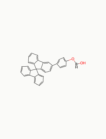 OBOc1ccc(-c2ccc3c(c2)-c2ccccc2C32c3ccccc3-c3ccccc32)cc1